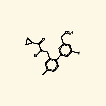 CCN(Cc1cc(C)ccc1-c1cc(Cl)cc(CC(=O)O)c1)C(=O)C1CC1